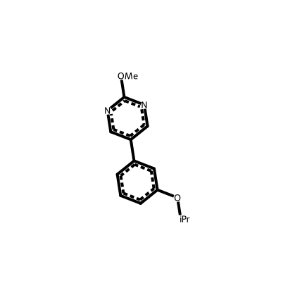 COc1ncc(-c2cccc(OC(C)C)c2)cn1